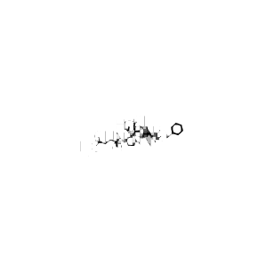 CCC(=O)[C@@]1([C]=O)C(NC(=O)CCC(C)C)CCN1c1nnn(COCc2ccccc2)n1